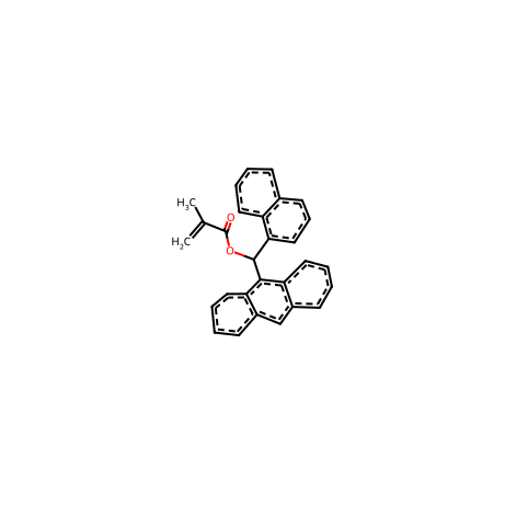 C=C(C)C(=O)OC(c1cccc2ccccc12)c1c2ccccc2cc2ccccc12